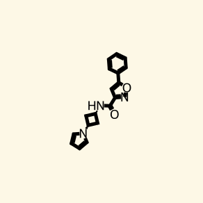 O=C(N[C@H]1C[C@H](n2cccc2)C1)c1cc(-c2ccccc2)on1